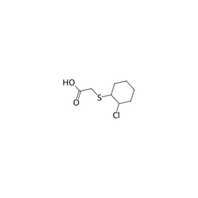 O=C(O)CSC1CCCCC1Cl